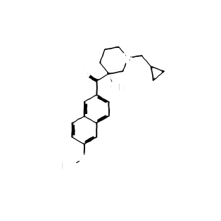 COc1ccc2cc(C(=O)[C@]3(O)CCCN(CC4CC4)C3)ccc2c1